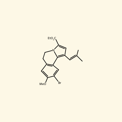 CCOC(=O)c1cc(C=C(C)C)c2n1CCc1cc(OC)c(Br)cc1-2